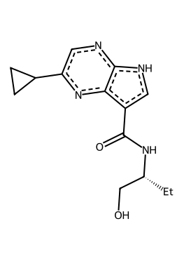 CC[C@H](CO)NC(=O)c1c[nH]c2ncc(C3CC3)nc12